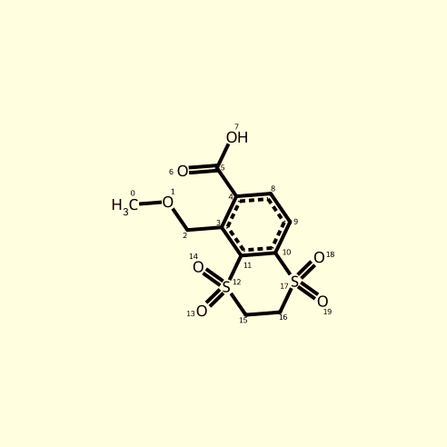 COCc1c(C(=O)O)ccc2c1S(=O)(=O)CCS2(=O)=O